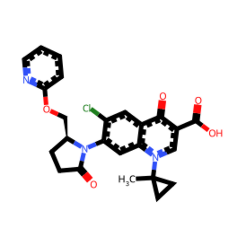 CC1(n2cc(C(=O)O)c(=O)c3cc(Cl)c(N4C(=O)CC[C@H]4COc4ccccn4)cc32)CC1